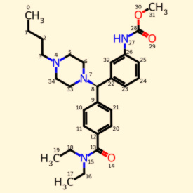 CCCCN1CCN([C@H](c2ccc(C(=O)N(CC)CC)cc2)c2cccc(NC(=O)OC)c2)CC1